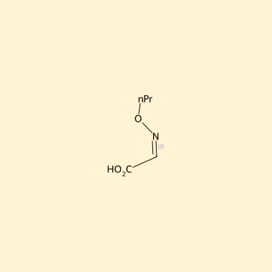 CCCO/N=C\C(=O)O